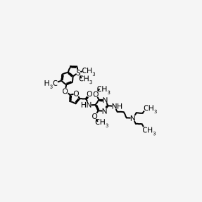 CCCN(CCC)CCCNc1nc(OC)c(NC(=O)c2ccc(Oc3cc4c(cc3C)C=CS4(C)C)o2)c(OC)n1